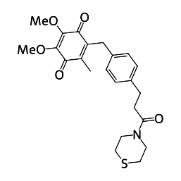 COC1=C(OC)C(=O)C(Cc2ccc(CCC(=O)N3CCSCC3)cc2)=C(C)C1=O